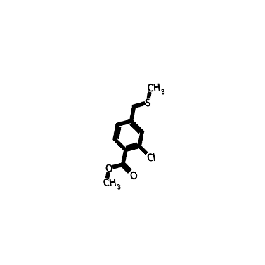 COC(=O)c1ccc(CSC)cc1Cl